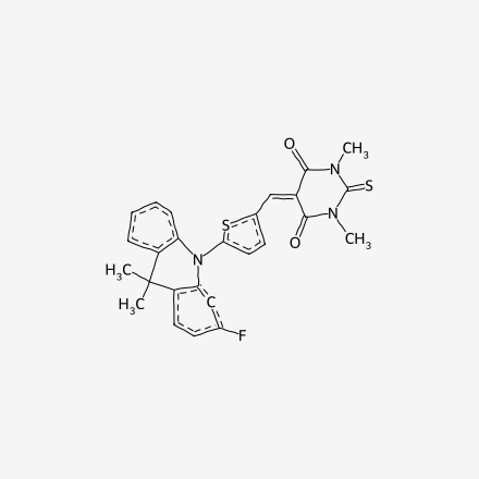 CN1C(=O)C(=Cc2ccc(N3c4ccccc4C(C)(C)c4ccc(F)cc43)s2)C(=O)N(C)C1=S